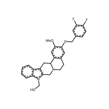 COc1cc2c(cc1OCc1ccc(F)c(F)c1)CCN1Cc3c(c4ccccc4n3CO)CC21